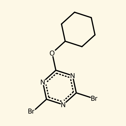 Brc1nc(Br)nc(OC2CCCCC2)n1